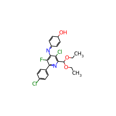 CCOC(OCC)c1nc(-c2ccc(Cl)cc2)c(F)c(N=C2C=CC(O)C=C2)c1Cl